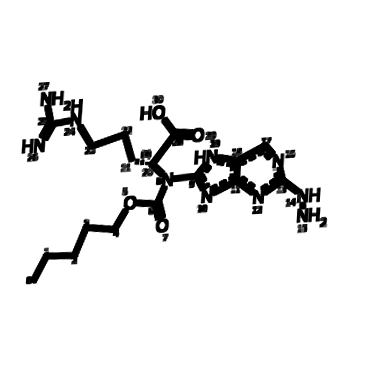 CCCCCOC(=O)N(c1nc2nc(NN)ncc2[nH]1)[C@H](CCCNC(=N)N)C(=O)O